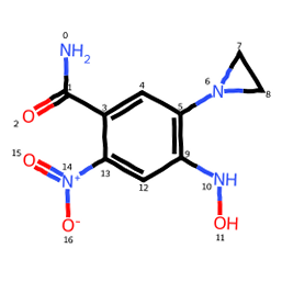 NC(=O)c1cc(N2CC2)c(NO)cc1[N+](=O)[O-]